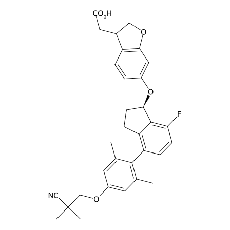 Cc1cc(OCC(C)(C)C#N)cc(C)c1-c1ccc(F)c2c1CC[C@H]2Oc1ccc2c(c1)OCC2CC(=O)O